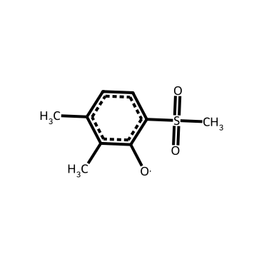 Cc1ccc(S(C)(=O)=O)c([O])c1C